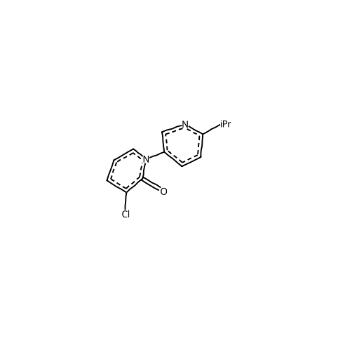 CC(C)c1ccc(-n2cccc(Cl)c2=O)cn1